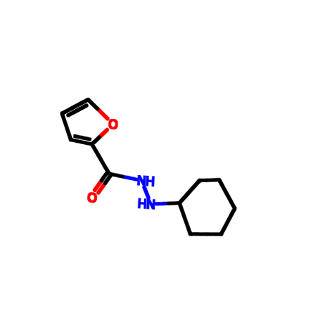 O=C(NNC1CCCCC1)c1ccco1